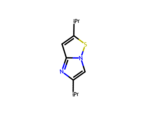 CC(C)c1cn2sc(C(C)C)cc2n1